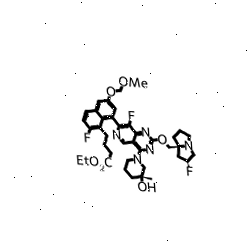 CCOC(=O)CCCc1c(F)ccc2cc(OCOC)cc(-c3ncc4c(N5CCC[C@@](C)(O)C5)nc(OC[C@@]56CCCN5C[C@H](F)C6)nc4c3F)c12